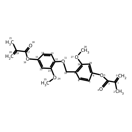 C=C(C)C(=O)Oc1ccc(COc2ccc(OC(=O)C(=C)C)cc2OC)c(OC)c1